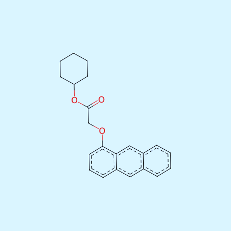 O=C(COc1cccc2cc3ccccc3cc12)OC1CCCCC1